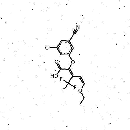 CCO/C=C\C(=C(/Oc1cc(Cl)cc(C#N)c1)C(=O)O)C(F)(F)F